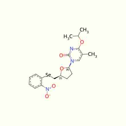 Cc1cn([C@H]2CC[C@@H](C[Se]c3ccccc3[N+](=O)[O-])O2)c(=O)nc1OC(C)C